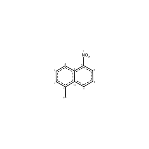 [CH2]c1cccc2c([N+](=O)[O-])cccc12